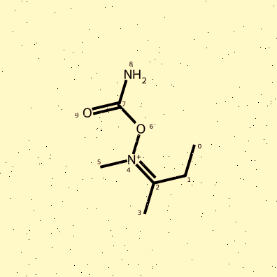 CCC(C)=[N+](C)OC(N)=O